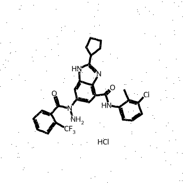 Cc1c(Cl)cccc1NC(=O)c1cc(N(N)C(=O)c2ccccc2C(F)(F)F)cc2[nH]c(C3CCCC3)nc12.Cl